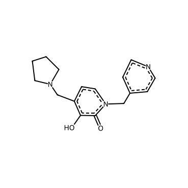 O=c1c(O)c(CN2CCCC2)ccn1Cc1ccncc1